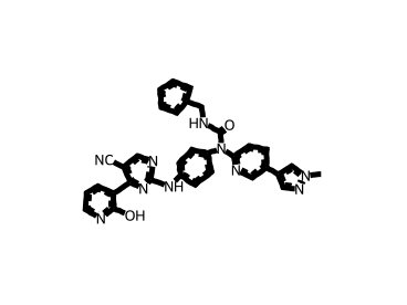 Cn1cc(-c2ccc(N(C(=O)NCc3ccccc3)c3ccc(Nc4ncc(C#N)c(-c5cccnc5O)n4)cc3)nc2)cn1